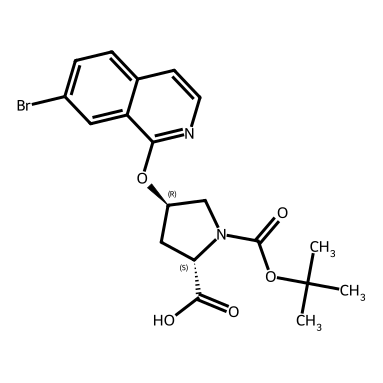 CC(C)(C)OC(=O)N1C[C@H](Oc2nccc3ccc(Br)cc23)C[C@H]1C(=O)O